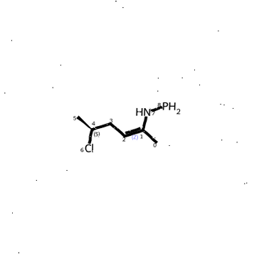 C/C(=C/C[C@H](C)Cl)NP